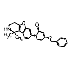 CC1(C)NCCc2oc3cc(-n4ccc(OCc5ccccc5)cc4=O)ccc3c21